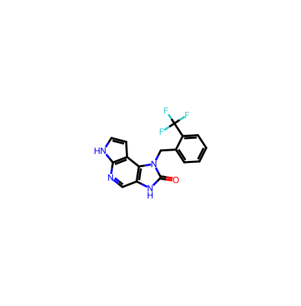 O=c1[nH]c2cnc3[nH]ccc3c2n1Cc1ccccc1C(F)(F)F